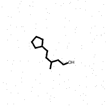 CC(CCO)CCC1CCCC1